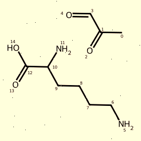 CC(=O)C=O.NCCCCC(N)C(=O)O